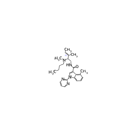 C/C=C(\C)C(CNC(=O)c1cn(-c2ncccn2)c2cccc(C)c12)N(C)CCCC